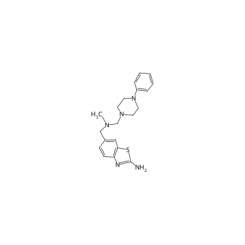 CN(Cc1ccc2nc(N)sc2c1)CN1CCN(c2ccccc2)CC1